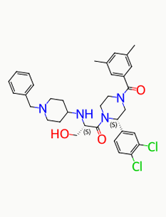 Cc1cc(C)cc(C(=O)N2CCN(C(=O)[C@H](CO)NC3CCN(Cc4ccccc4)CC3)[C@@H](c3ccc(Cl)c(Cl)c3)C2)c1